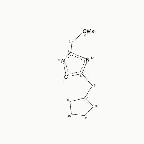 COCc1noc(CC2CCCC2)n1